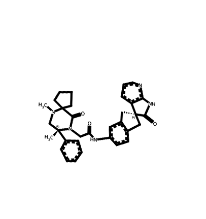 CN1C[C@@](C)(c2ccccc2)N(CC(=O)Nc2ccc3c(c2)C[C@@]2(C3)C(=O)Nc3ncccc32)C(=O)C12CCCC2